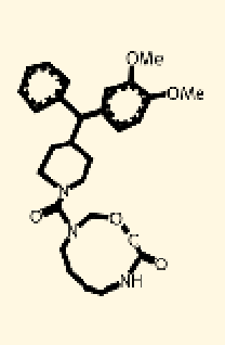 COc1ccc(C(c2ccccc2)C2CCN(C(=O)N3CCCCNC(=O)COC3)CC2)cc1OC